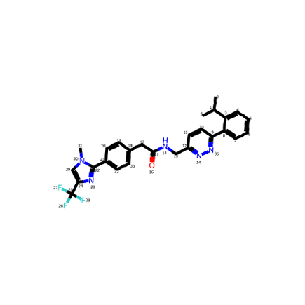 CC(C)c1ccccc1-c1ccc(CNC(=O)Cc2ccc(-c3nc(C(F)(F)F)cn3C)cc2)nn1